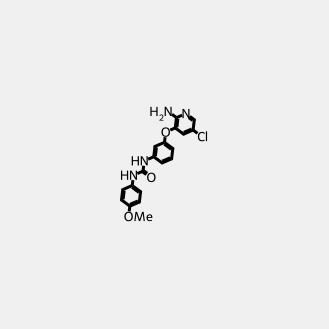 COc1ccc(NC(=O)Nc2cccc(Oc3cc(Cl)cnc3N)c2)cc1